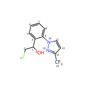 OC(CF)c1ccccc1-n1ccc(C(F)(F)F)n1